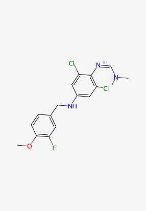 COc1ccc(CNc2cc(Cl)c(/N=C\N(C)C)c(Cl)c2)cc1F